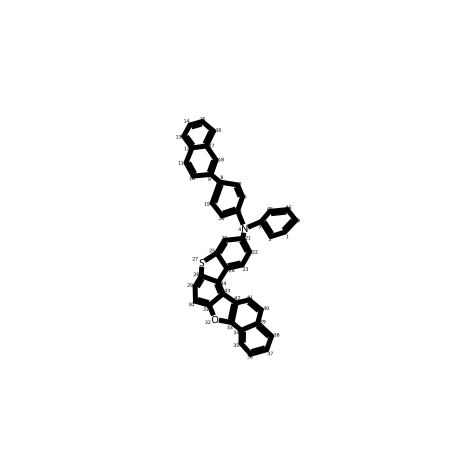 c1ccc(N(c2ccc(-c3ccc4ccccc4c3)cc2)c2ccc3c(c2)sc2ccc4oc5c6ccccc6ccc5c4c23)cc1